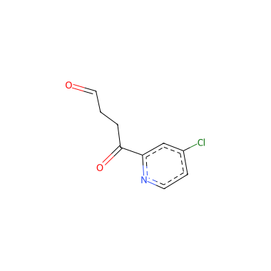 O=CCCC(=O)c1cc(Cl)ccn1